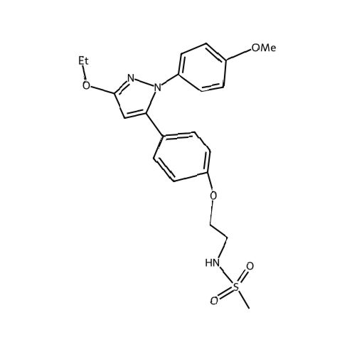 CCOc1cc(-c2ccc(OCCNS(C)(=O)=O)cc2)n(-c2ccc(OC)cc2)n1